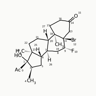 CC(=O)[C@]1(O)[C@H](C)C[C@H]2[C@@H]3C[C@@H](F)[C@@]4(Br)CC(=O)CC[C@]4(C)[C@H]3CC[C@@]21C